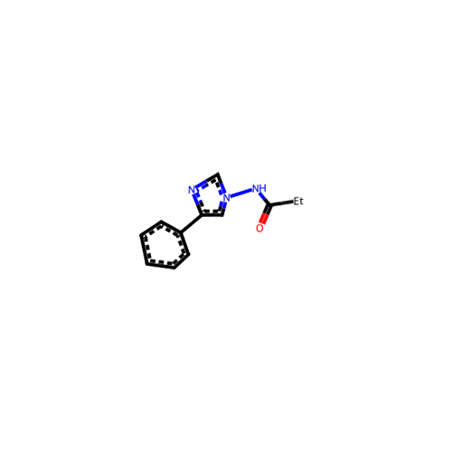 CCC(=O)Nn1cnc(-c2ccccc2)c1